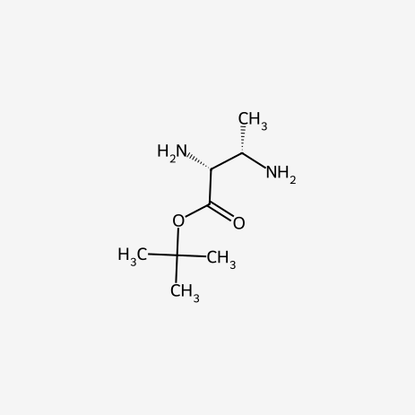 C[C@H](N)[C@@H](N)C(=O)OC(C)(C)C